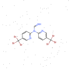 N=CN(c1ccc(C(Br)(Br)Br)cn1)c1ccc(C(Br)(Br)Br)cn1